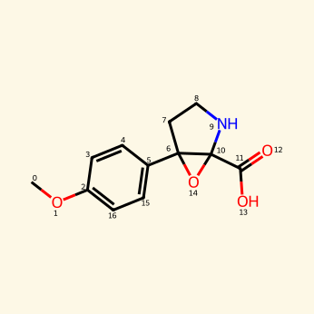 COc1ccc(C23CCNC2(C(=O)O)O3)cc1